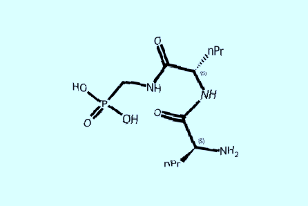 CCC[C@H](NC(=O)[C@@H](N)CCC)C(=O)NCP(=O)(O)O